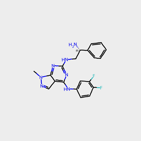 Cn1ncc2c(Nc3ccc(F)c(F)c3)nc(NC[C@H](N)c3ccccc3)nc21